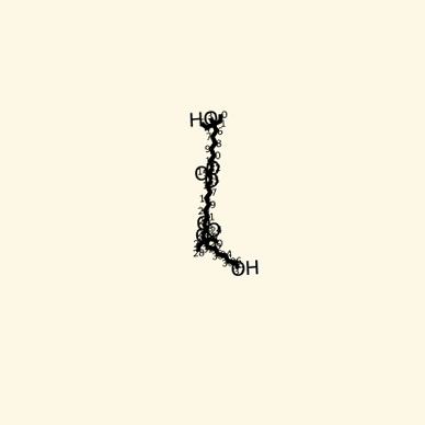 CCC(O)(CC)CCCCCCOC(=O)OCCCCCCOC(=O)OC(CC)(CC)CCCCCCO